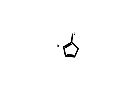 CCC1=CC=CC1.[Ir]